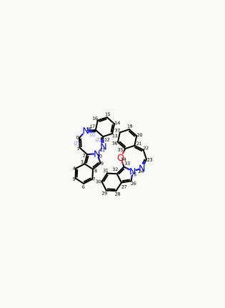 C1=C\c2c3ccccc3cn2/N=c2/cccc/c2=N/1.C1=Cc2ccnn3cc4ccccc4c3oc2=CC1